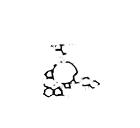 COc1nn(C)cc1C(=O)N[S@@]1(=O)=NC(=O)c2ccc3c(c2)N(C[C@@H]2CC[C@H]2[C@@](CN2CCN4CCOC[C@@H]4C2)(OC)/C=C/C[C@H](C)C1)C[C@@]1(CCCc2cc(Cl)ccc21)CO3